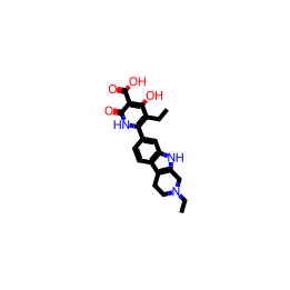 CCc1c(-c2ccc3c4c([nH]c3c2)CN(CC)CC4)[nH]c(=O)c(C(=O)O)c1O